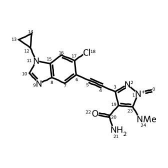 C=[N+]1N=C(C#Cc2cc3ncn(C4CC4)c3cc2Cl)C(C(N)=O)=C1NC